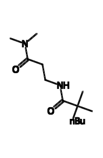 CCCCC(C)(C)C(=O)NCCC(=O)N(C)C